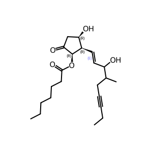 CCC#CCC(C)C(O)/C=C/[C@@H]1[C@H](O)CC(=O)[C@@H]1OC(=O)CCCCCC